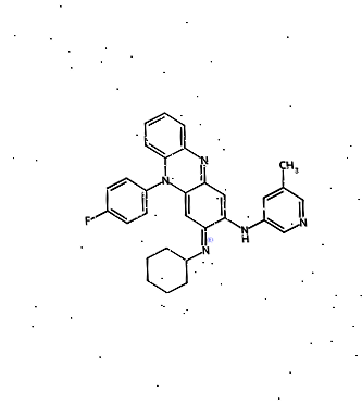 Cc1cncc(Nc2cc3nc4ccccc4n(-c4ccc(F)cc4)c-3c/c2=N\C2CCCCC2)c1